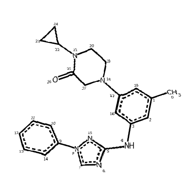 Cc1cc(Nc2ncn(-c3ccccc3)n2)cc(N2CCN(C3CC3)C(=O)C2)c1